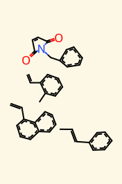 C=Cc1cccc2ccccc12.C=Cc1ccccc1C.CC=Cc1ccccc1.O=C1C=CC(=O)N1Cc1ccccc1